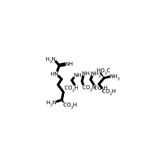 N=C(N)NCCC[C@H](N)C(=O)O.NCC(=O)O.NCC(=O)O.NCC(=O)O.N[C@@H](CC(=O)O)C(=O)O